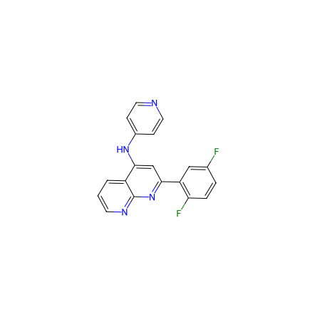 Fc1ccc(F)c(-c2cc(Nc3ccncc3)c3cccnc3n2)c1